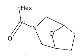 CCCCCCC(=O)N1CC2CCC(C1)O2